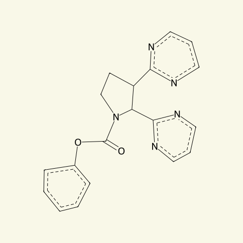 O=C(Oc1ccccc1)N1CCC(c2ncccn2)C1c1ncccn1